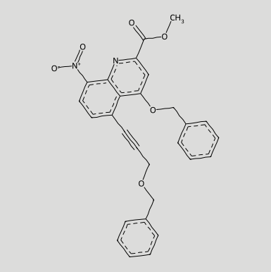 COC(=O)c1cc(OCc2ccccc2)c2c(C#CCOCc3ccccc3)ccc([N+](=O)[O-])c2n1